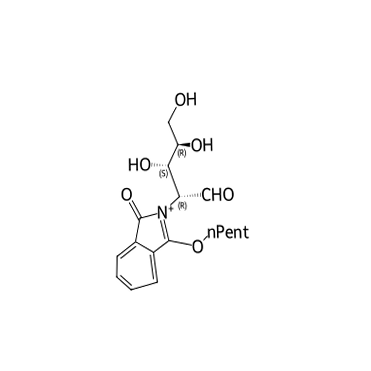 CCCCCOC1=[N+]([C@@H](C=O)[C@H](O)[C@H](O)CO)C(=O)c2ccccc21